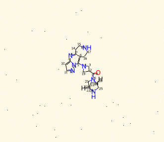 O=C(C1CN(c2c3c(nc4ccnn24)CCNCC3)C1)N1C[C@@H]2C[C@H]1CN2